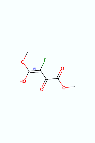 COC(=O)C(=O)/C(F)=C(\O)OC